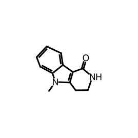 Cn1c2c(c3ccccc31)C(=O)NCC2